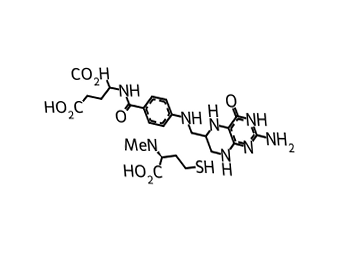 CN[C@@H](CCS)C(=O)O.Nc1nc2c(c(=O)[nH]1)NC(CNc1ccc(C(=O)NC(CCC(=O)O)C(=O)O)cc1)CN2